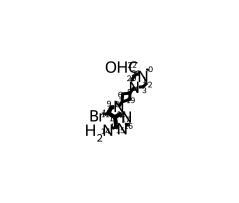 CN1CCN(C2CC(n3cc(Br)c4c(N)ncnc43)C2)CC1C=O